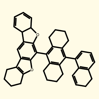 C1=CC2Oc3c(cc4c5c(oc4c3-c3c4c(c(-c6cccc7c6C=CCC7)c6c3CCCC6)CCCC4)CCCC5)C2C=C1